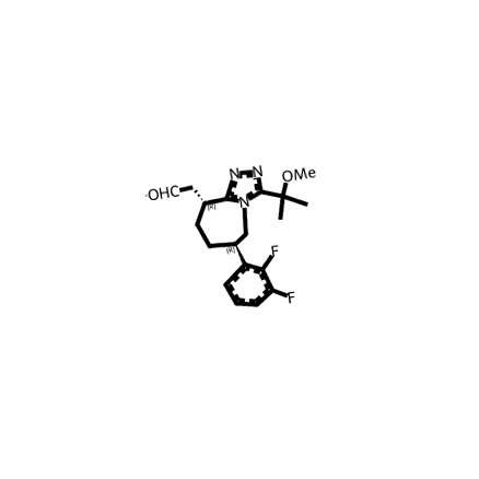 COC(C)(C)c1nnc2n1C[C@@H](c1cccc(F)c1F)CC[C@@H]2C[C]=O